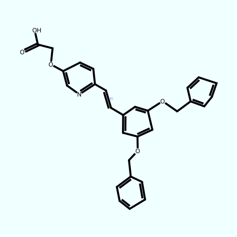 O=C(O)COc1ccc(/C=C/c2cc(OCc3ccccc3)cc(OCc3ccccc3)c2)nc1